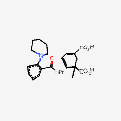 CC1(C(=O)O)C=CC=C(C(=O)O)C1.CCCC(=O)c1ccccc1N1CCCCC1